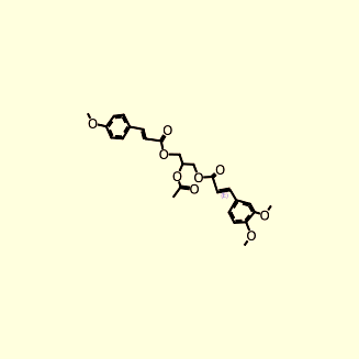 COc1ccc(C=CC(=O)OCC(COC(=O)/C=C/c2ccc(OC)c(OC)c2)OC(C)=O)cc1